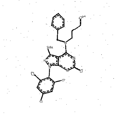 CSc1nn(-c2c(Cl)cc(Cl)cc2Cl)c2nc(Cl)nc(N(CCCO)Cc3ccccc3)c12